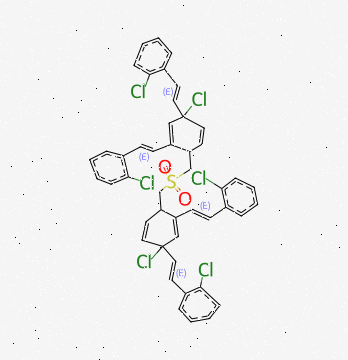 O=S(=O)(CC1C=CC(Cl)(/C=C/c2ccccc2Cl)C=C1/C=C/c1ccccc1Cl)CC1C=CC(Cl)(/C=C/c2ccccc2Cl)C=C1/C=C/c1ccccc1Cl